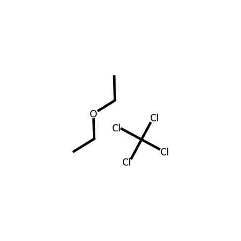 CCOCC.ClC(Cl)(Cl)Cl